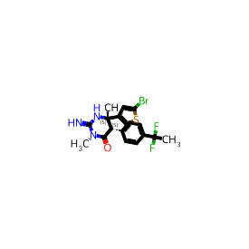 CN1C(=N)N[C@](C)(c2csc(Br)c2)[C@H](c2ccc(C(C)(F)F)cc2)C1=O